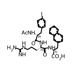 CC(=O)N[C@H](Cc1ccc(I)cc1)C(=O)N[C@@H](CCCNC(=N)N)C(=O)N[C@@H](Cc1ccc2ccccc2c1)C(=O)O